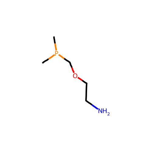 CP(C)COCCN